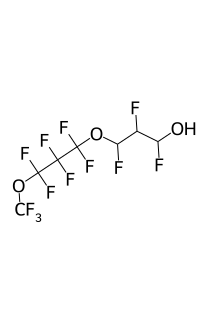 OC(F)C(F)C(F)OC(F)(F)C(F)(F)C(F)(F)OC(F)(F)F